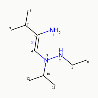 CCNN(/C=C(\N)C(C)C)C(C)C